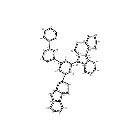 c1ccc(-c2cccc(-c3nc(-c4ccc5c(c4)sc4ccccc45)nc(-n4c5ccccc5c5c6ccccc6ccc54)n3)c2)cc1